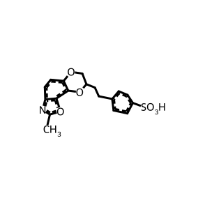 Cc1nc2ccc3c(c2o1)OC(CCc1ccc(S(=O)(=O)O)cc1)CO3